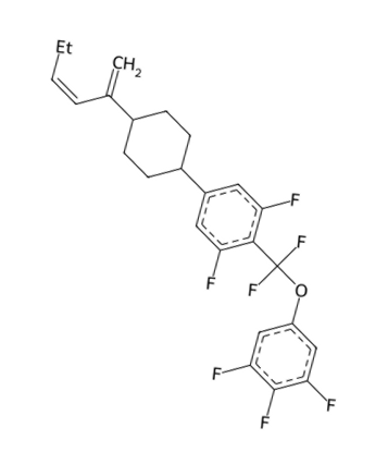 C=C(/C=C\CC)C1CCC(c2cc(F)c(C(F)(F)Oc3cc(F)c(F)c(F)c3)c(F)c2)CC1